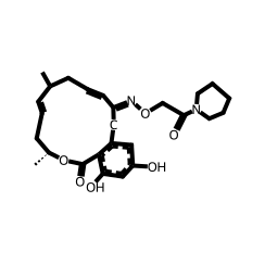 CC1/C=C/C[C@@H](C)OC(=O)c2c(O)cc(O)cc2CC(=N\OCC(=O)N2CCCCC2)/C=C/C1